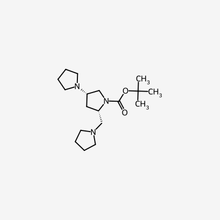 CC(C)(C)OC(=O)N1C[C@@H](N2CCCC2)C[C@H]1CN1CCCC1